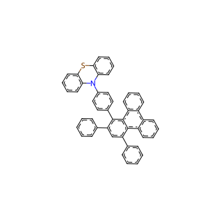 c1ccc(-c2cc(-c3ccccc3)c3c4ccccc4c4ccccc4c3c2-c2ccc(N3c4ccccc4Sc4ccccc43)cc2)cc1